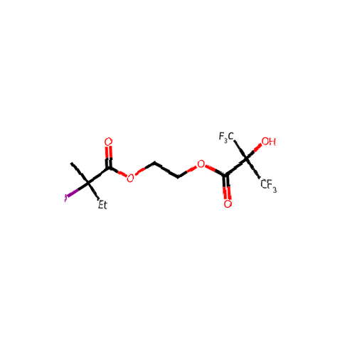 CCC(C)(I)C(=O)OCCOC(=O)C(O)(C(F)(F)F)C(F)(F)F